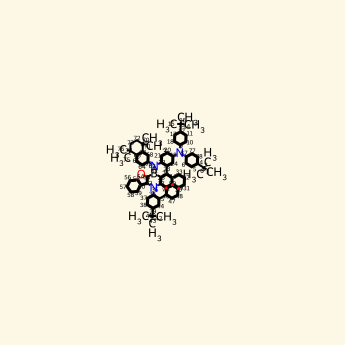 CC(C)(C)c1ccc(N(c2ccc(C(C)(C)C)cc2)c2ccc3c(c2)-c2c4c(cc5ccccc25)N(c2ccc(C(C)(C)C)cc2-c2ccccc2)c2c(oc5ccccc25)B4N3c2ccc3c(c2)C(C)(C)CCC3(C)C)cc1